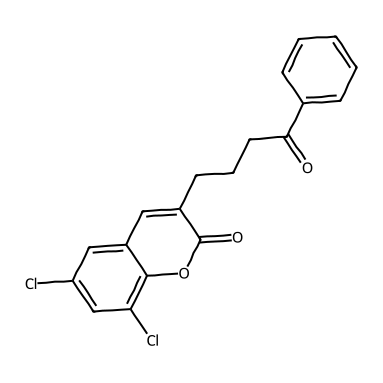 O=C(CCCc1cc2cc(Cl)cc(Cl)c2oc1=O)c1ccccc1